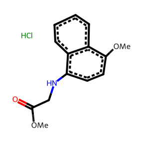 COC(=O)CNc1ccc(OC)c2ccccc12.Cl